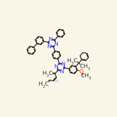 C=C/C=C\C(=C)c1nc(-c2ccc(-c3nc(-c4ccccc4)nc(-c4cccc(-c5ccccc5)c4)n3)cc2)nc(-c2ccc(OC)c(C(C)(C)C3=CC=CCC3)c2)n1